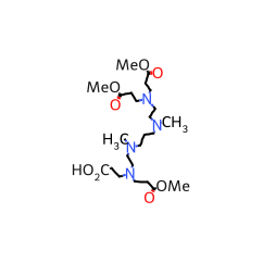 COC(=O)CCN(CCC(=O)O)CCN(C)CCCN(C)CCN(CCC(=O)OC)CCC(=O)OC